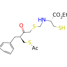 CCOC(=O)[C@H](CS)NCSCC(=O)[C@@H](CSC(C)=O)Cc1ccccc1